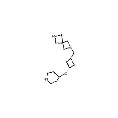 C1CC(O[C@H]2C[C@H](CN3CC4(CNC4)C3)C2)CCN1